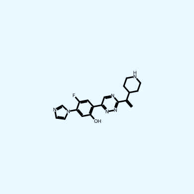 C=C(c1ncc(-c2cc(F)c(-n3ccnc3)cc2O)nn1)C1CCNCC1